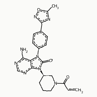 C=CC(=O)N1CCC[C@@H](n2c(=O)n(-c3ccc(-c4noc(C)n4)cc3)c3c(N)ncnc32)C1